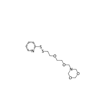 c1ccc(SSCCOCCOCN2COCOC2)nc1